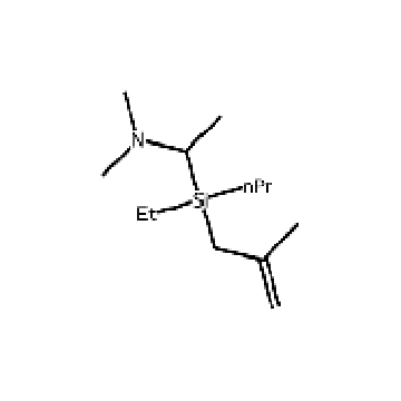 C=C(C)C[Si](CC)(CCC)C(C)N(C)C